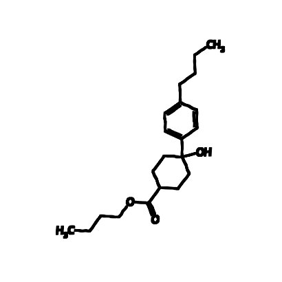 CCCCOC(=O)C1CCC(O)(c2ccc(CCCC)cc2)CC1